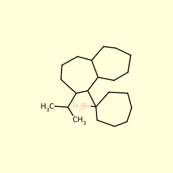 BC1(C2C(C(C)C)CCCC3CCCCCC32)CCCCCC1